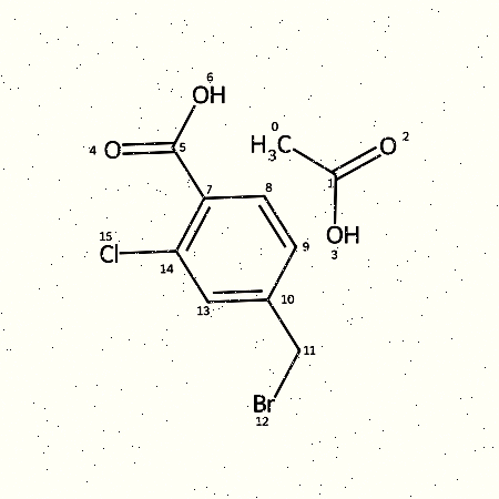 CC(=O)O.O=C(O)c1ccc(CBr)cc1Cl